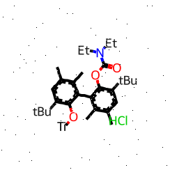 CCN(CC)C(=O)Oc1c(C(C)(C)C)cc(C)c(C)c1-c1c(C)c(C)cc(C(C)(C)C)c1[O][Ti].Cl